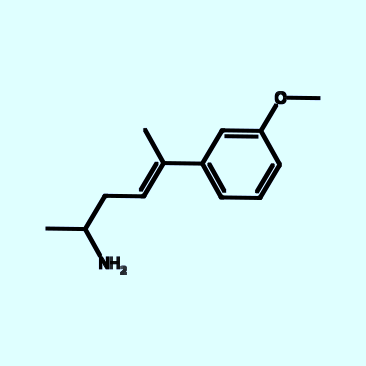 COc1cccc(C(C)=CCC(C)N)c1